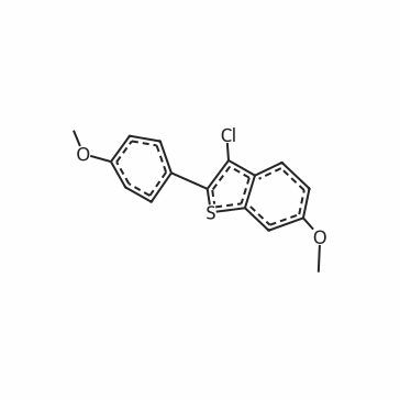 COc1ccc(-c2sc3cc(OC)ccc3c2Cl)cc1